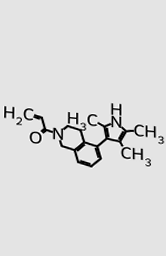 C=CC(=O)N1CCc2c(cccc2-c2c(C)[nH]c(C)c2C)C1